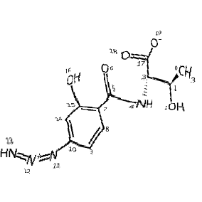 C[C@@H](O)[C@H](NC(=O)c1ccc(N=[N+]=N)cc1O)C(=O)[O-]